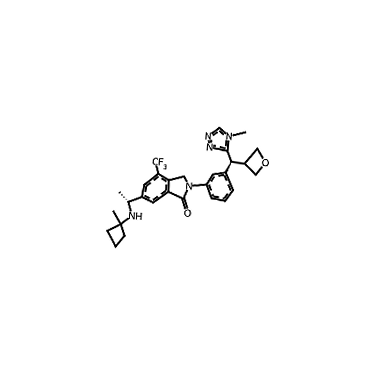 C[C@@H](NC1(C)CCC1)c1cc2c(c(C(F)(F)F)c1)CN(c1cccc([C@@H](c3nncn3C)C3COC3)c1)C2=O